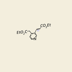 CCOC(=O)/C=C/c1cnccc1CC(=O)OCC